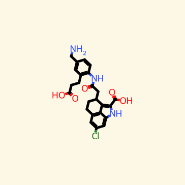 NCc1ccc(NC(=O)CC2CCc3cc(Cl)cc4[nH]c(C(=O)O)c2c34)c(CCC(=O)O)c1